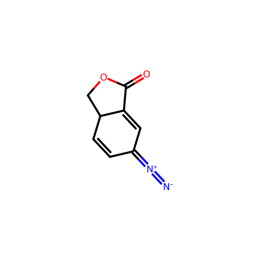 [N-]=[N+]=C1C=CC2COC(=O)C2=C1